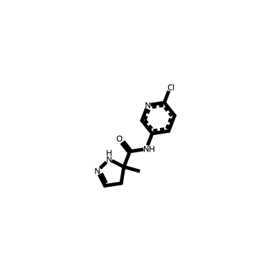 CC1(C(=O)Nc2ccc(Cl)nc2)CC=NN1